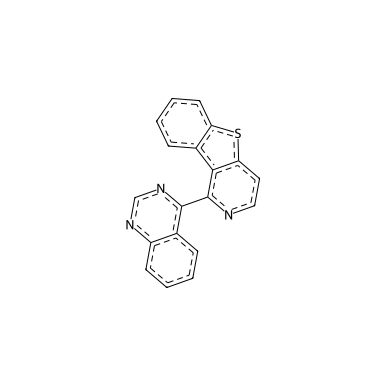 c1ccc2c(-c3nccc4sc5ccccc5c34)ncnc2c1